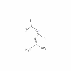 CC(Cl)/C=C(/Cl)N=C(N)N